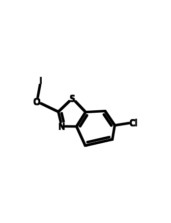 Clc1ccc2nc(OI)sc2c1